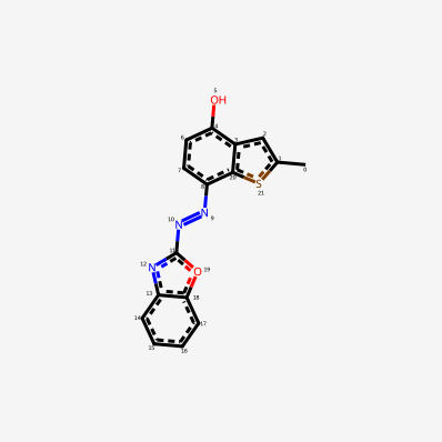 Cc1cc2c(O)ccc(/N=N/c3nc4ccccc4o3)c2s1